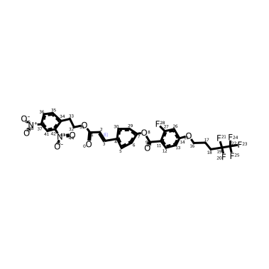 O=C(/C=C/c1ccc(OC(=O)c2ccc(OCCCC(F)(F)C(F)(F)F)cc2F)cc1)OCCc1ccc([N+](=O)[O-])cc1[N+](=O)[O-]